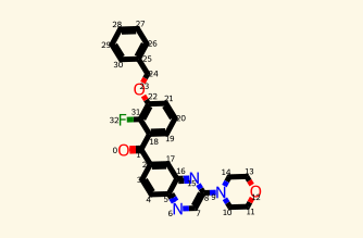 O=C(c1ccc2ncc(N3CCOCC3)nc2c1)c1cccc(OCc2ccccc2)c1F